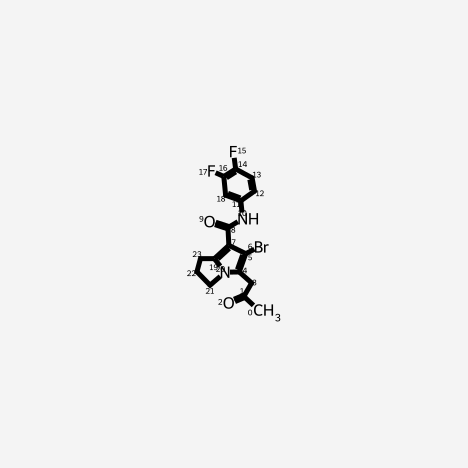 CC(=O)Cc1c(Br)c(C(=O)Nc2ccc(F)c(F)c2)c2n1CCC2